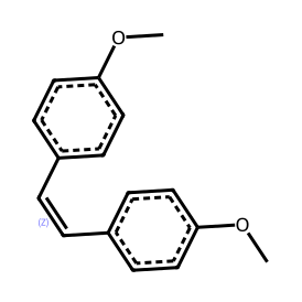 COc1ccc(/C=C\c2ccc(OC)cc2)cc1